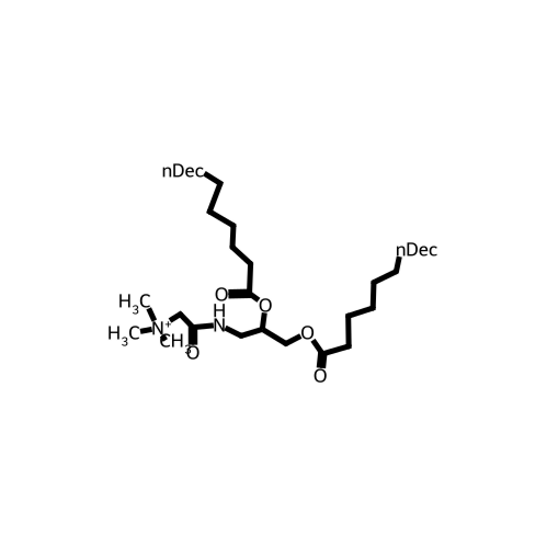 CCCCCCCCCCCCCCCC(=O)OCC(CNC(=O)C[N+](C)(C)C)OC(=O)CCCCCCCCCCCCCCC